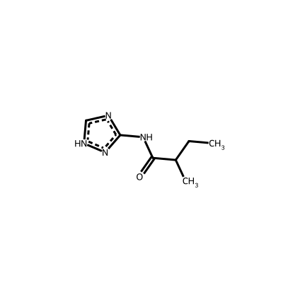 CCC(C)C(=O)Nc1nc[nH]n1